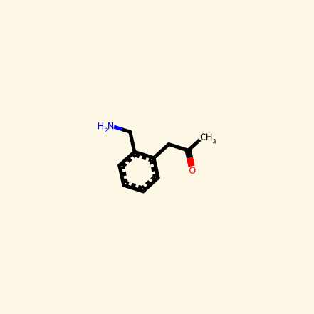 CC(=O)Cc1ccccc1CN